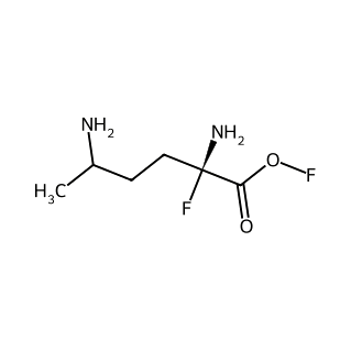 CC(N)CC[C@@](N)(F)C(=O)OF